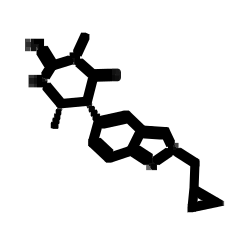 C[C@@H]1NC(=N)N(C)C(=O)[C@@H]1c1ccc2nn(CC3CC3)cc2c1